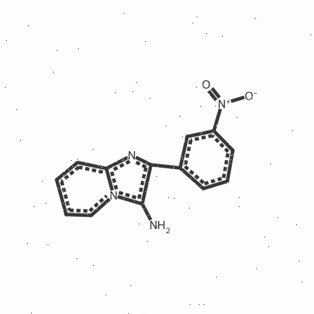 Nc1c(-c2cccc([N+](=O)[O-])c2)nc2ccccn12